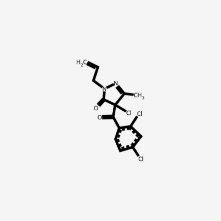 C=CCN1N=C(C)C(Cl)(C(=O)c2ccc(Cl)cc2Cl)C1=O